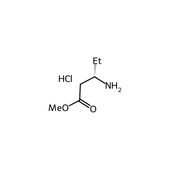 CC[C@H](N)CC(=O)OC.Cl